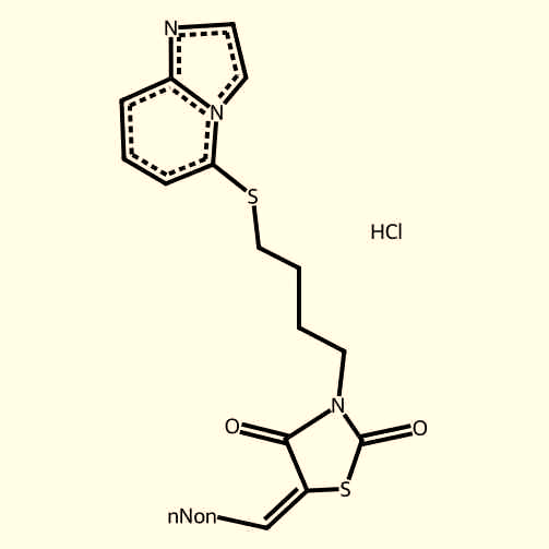 CCCCCCCCC/C=C1/SC(=O)N(CCCCSc2cccc3nccn23)C1=O.Cl